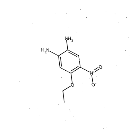 CCOc1cc(N)c(N)cc1[N+](=O)[O-]